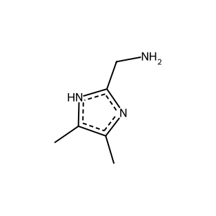 Cc1nc(CN)[nH]c1C